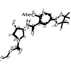 COc1ncc(B2OC(C)(C)C(C)(C)O2)cc1C(=O)N[C@@H]1CN(C(=O)OCC(F)(F)F)C[C@H]1F